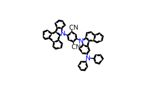 N#Cc1cc(-n2c3ccccc3c3c4ccccc4c4ccccc4c32)c(C#N)cc1-n1c2ccc(N(c3ccccc3)c3ccccc3)cc2c2c3ccccc3ccc21